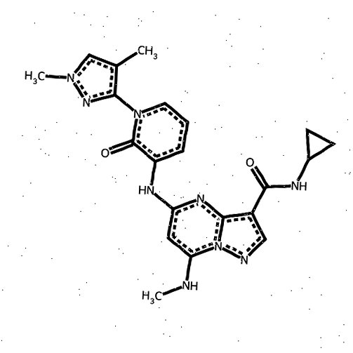 CNc1cc(Nc2cccn(-c3nn(C)cc3C)c2=O)nc2c(C(=O)NC3CC3)cnn12